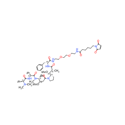 CC[C@H](C)[C@@H]([C@@H](CC(=O)N1CCC[C@H]1[C@H](OC)[C@@H](C)C(=O)N[C@H](Cc1ccccc1)C(=O)NCCOCCOCCNC(=O)CCCCCN1C(=O)C=CC1=O)OC)N(C)C(=O)[C@@H](NC(=O)[C@H](C(C)C)N(C)C)C(C)C